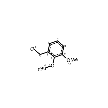 CCCCOc1c(CCl)cccc1OC